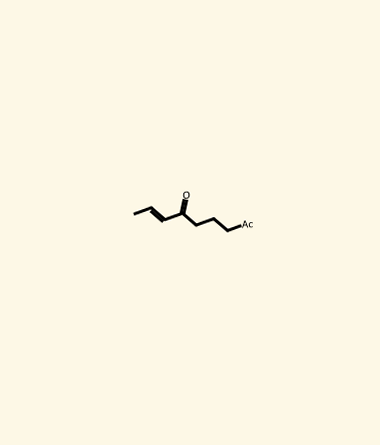 C/C=C/C(=O)CCCC(C)=O